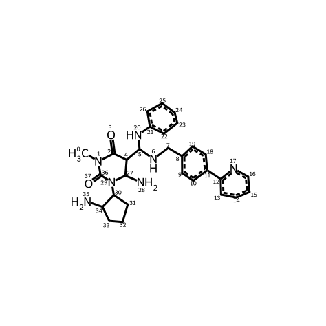 CN1C(=O)C(C(NCc2ccc(-c3ccccn3)cc2)Nc2ccccc2)C(N)N(C2CCCC2N)C1=O